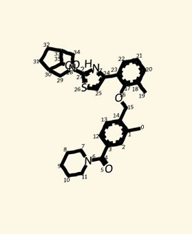 Cc1cc(C(=O)N2CCCCC2)ccc1COc1c(C)cccc1-c1csc(N2CC3CCC(C2)C3C(=O)O)n1